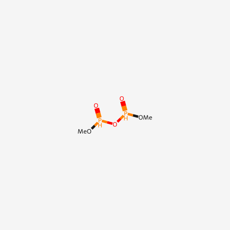 CO[PH](=O)O[PH](=O)OC